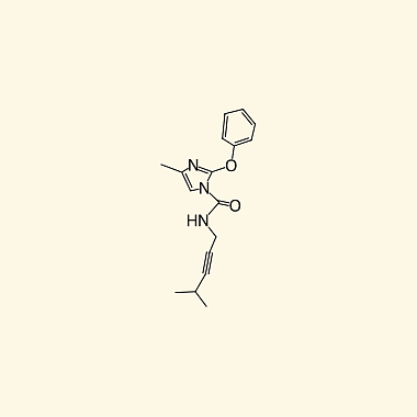 Cc1cn(C(=O)NCC#CC(C)C)c(Oc2ccccc2)n1